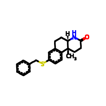 C[C@]12CCC(=O)N[C@@H]1CCc1cc(SCc3ccccc3)ccc12